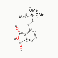 CO[Si](CCc1cccc2c1C(=O)OC2=O)(OC)OC